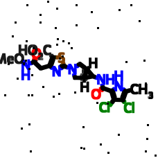 CONC(=O)Cc1nc(N2C[C@@H]3C(NC(=O)c4[nH]c(C)c(Cl)c4Cl)[C@@H]3C2)sc1C(=O)O